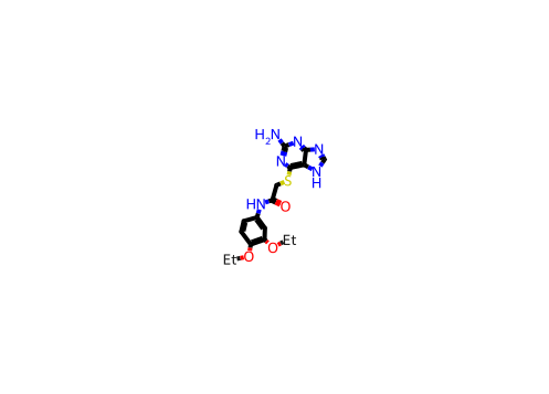 CCOc1ccc(NC(=O)CSc2nc(N)nc3nc[nH]c23)cc1OCC